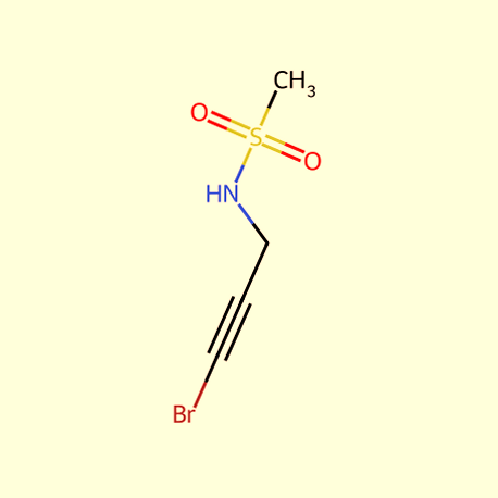 CS(=O)(=O)NCC#CBr